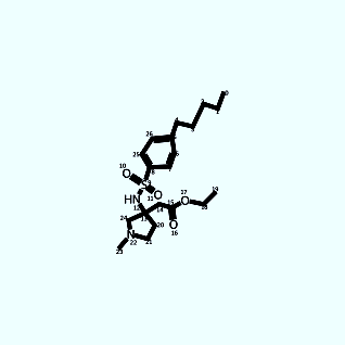 CCCCCc1ccc(S(=O)(=O)NC2(CC(=O)OCC)CCN(C)C2)cc1